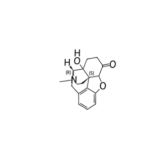 CN1CC[C@]23c4c5cccc4OC2C(=O)CCC3(O)[C@H]1C5